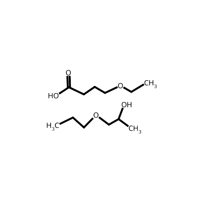 CCCOCC(C)O.CCOCCCC(=O)O